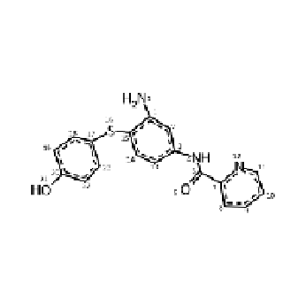 Nc1cc(NC(=O)c2ccccn2)ccc1Sc1ccc(O)cc1